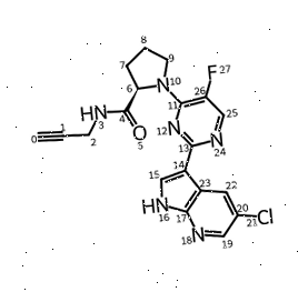 C#CCNC(=O)[C@H]1CCCN1c1nc(-c2c[nH]c3ncc(Cl)cc23)ncc1F